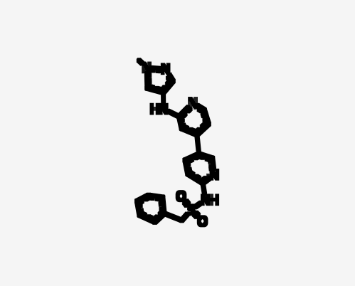 Cn1cc(Nc2cc(-c3ccc(NS(=O)(=O)Cc4ccccc4)nc3)ccn2)cn1